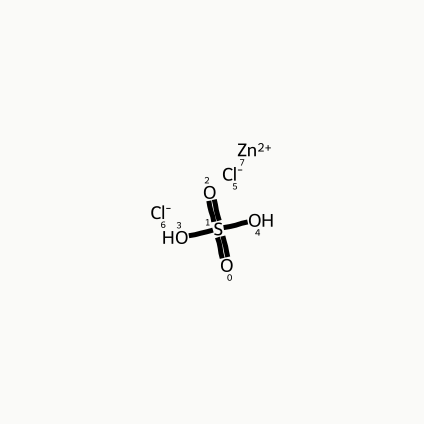 O=S(=O)(O)O.[Cl-].[Cl-].[Zn+2]